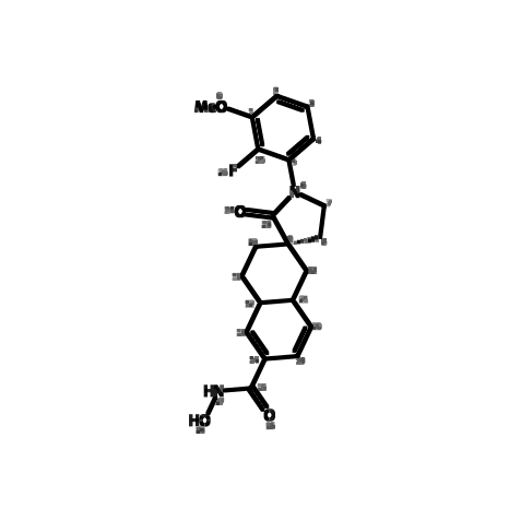 COc1cccc(N2CC[C@]3(CCC4C=C(C(=O)NO)C=CC4C3)C2=O)c1F